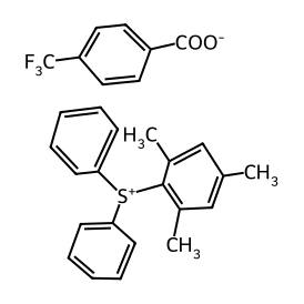 Cc1cc(C)c([S+](c2ccccc2)c2ccccc2)c(C)c1.O=C([O-])c1ccc(C(F)(F)F)cc1